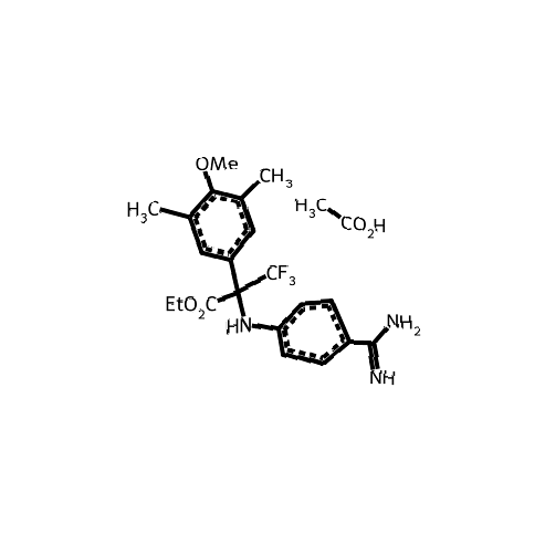 CC(=O)O.CCOC(=O)C(Nc1ccc(C(=N)N)cc1)(c1cc(C)c(OC)c(C)c1)C(F)(F)F